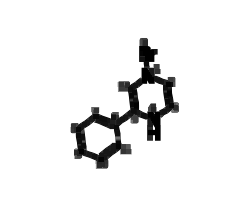 BrN1C=CNC(c2ccccc2)=C1